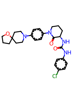 O=C(Nc1ccc(Cl)cc1)N[C@@H]1CCCN(c2ccc(N3CCC4(CCCO4)CC3)cc2)C1=O